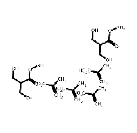 C=C(C)C(=O)O.C=C(C)C(=O)O.C=C(C)C(=O)O.C=C(C)C(=O)O.NOC(=O)C(CO)CO.NOC(=O)C(CO)CO